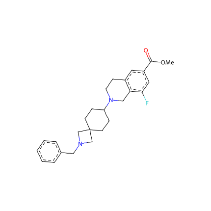 COC(=O)c1cc(F)c2c(c1)CCN(C1CCC3(CC1)CN(Cc1ccccc1)C3)C2